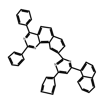 c1ccc(-c2cc(-c3cccc4ccccc34)nc(-c3ccc4ccc5c(-c6ccccc6)nc(-c6ccccc6)nc5c4c3)n2)cc1